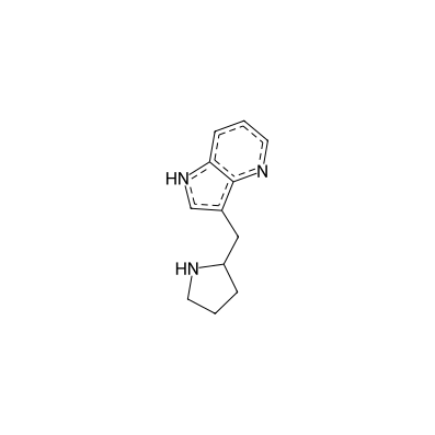 c1cnc2c(CC3CCCN3)c[nH]c2c1